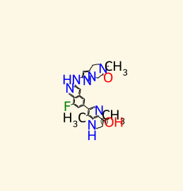 Cc1c(-c2cc(F)c3cnc(Nc4cc5n(n4)CC(=O)N(C)CC5)cc3c2)cnc2c1NCC[C@@]2(C)O